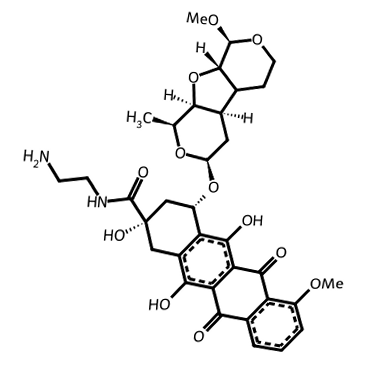 COc1cccc2c1C(=O)c1c(O)c3c(c(O)c1C2=O)C[C@@](O)(C(=O)NCCN)C[C@@H]3O[C@@H]1C[C@@H]2C3CCO[C@H](OC)[C@H]3O[C@@H]2[C@H](C)O1